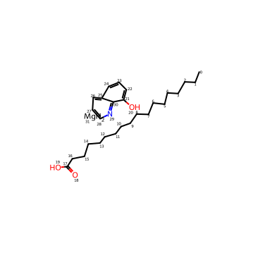 CCCCCCCCCCCCCCCCCC(=O)O.Oc1cccc2cccnc12.[MgH2]